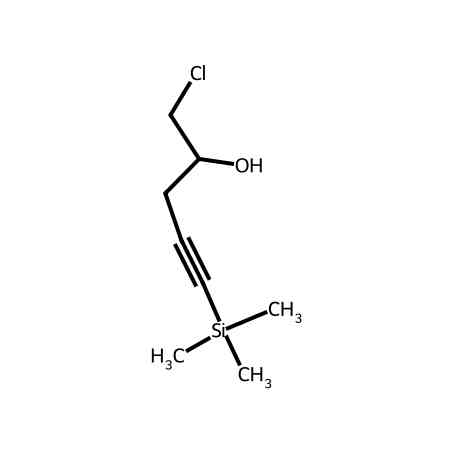 C[Si](C)(C)C#CCC(O)CCl